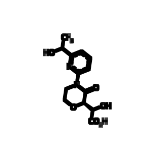 O=C(O)C(O)[C@H]1OCCN(c2cccc(C(O)C(F)(F)F)n2)C1=O